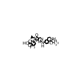 CC(C)(O)c1nc(-n2c3nc(Nc4ccc5c(c4)CCNC5(C)C)ncc3c(=O)n2C2CC2)ccc1F